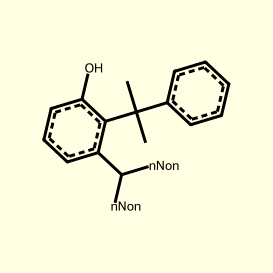 CCCCCCCCCC(CCCCCCCCC)c1cccc(O)c1C(C)(C)c1ccccc1